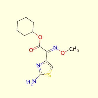 CON=C(C(=O)OC1CCCCC1)c1csc(N)n1